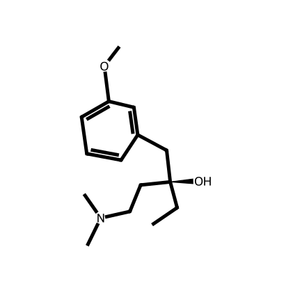 CC[C@](O)(CCN(C)C)Cc1cccc(OC)c1